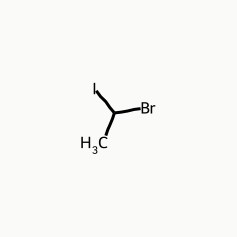 CC(Br)I